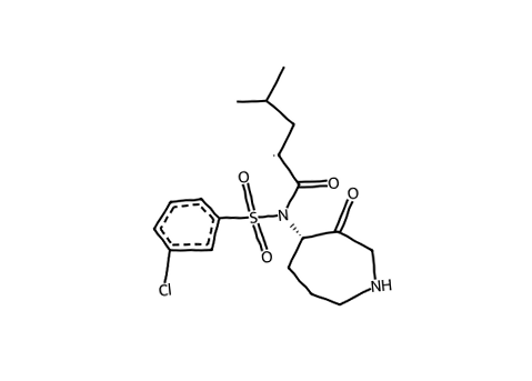 CC(C)C[CH]C(=O)N([C@H]1CCCNCC1=O)S(=O)(=O)c1cccc(Cl)c1